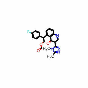 Cc1nnc(C2C=Nc3cccc(C(COC=O)c4ccc(F)cc4)c3C2=O)n1C